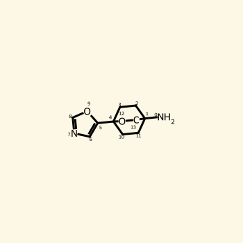 NC12CCC(c3cnco3)(CC1)OC2